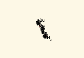 CCCCOc1ccc(C2CCC(c3ccc(COC4CCC(c5ccc(C)c(F)c5F)CC4)c(F)c3F)CC2)c(F)c1F